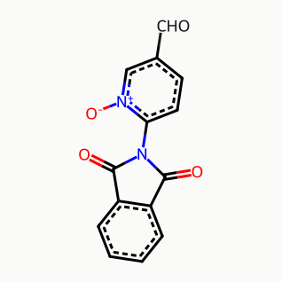 O=Cc1ccc(N2C(=O)c3ccccc3C2=O)[n+]([O-])c1